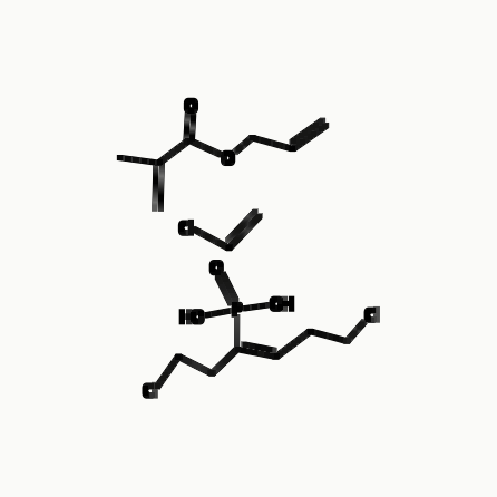 C=CCOC(=O)C(=C)C.C=CCl.O=P(O)(O)C(=CCCCl)CCCl